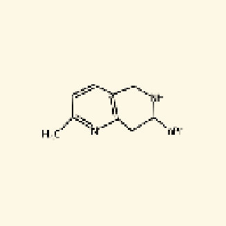 CCCC1Cc2nc(C)ccc2CN1